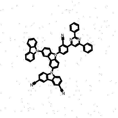 N#Cc1ccc2c(c1)c1cc(C#N)ccc1n2-c1ccc2c(c1)c1cc(-n3c4ccccc4c4ccccc43)ccc1n2-c1ccc(-c2cc(-c3ccccc3)nc(-c3ccccc3)n2)c(C#N)c1